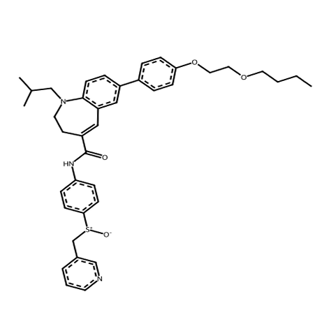 CCCCOCCOc1ccc(-c2ccc3c(c2)C=C(C(=O)Nc2ccc([S+]([O-])Cc4cccnc4)cc2)CCN3CC(C)C)cc1